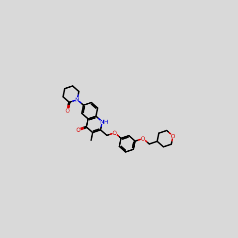 Cc1c(COc2cccc(OCC3CCOCC3)c2)[nH]c2ccc(N3CCCCC3=O)cc2c1=O